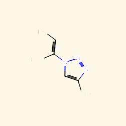 C/C=C(\C)n1cc(C=O)nn1